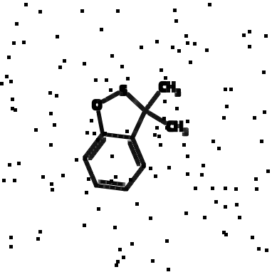 CC1(C)SOc2ccccc21